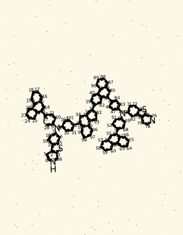 C1=Cc2c(sc3cc(N(c4ccc(-c5cc6ccccc6c6ccccc56)cc4)c4ccc(-c5cc6cc(-c7ccc8c(c7)c(-c7ccc(N(c9ccc(-c%10cc%11ccccc%11c%11ccccc%10%11)cc9)c9ccc%10sc%11cnccc%11c%10c9)cc7)cc7ccccc78)ccc6c6ccccc56)cc4)ccc23)CN1